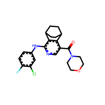 O=C(c1cnc(Nc2ccc(F)c(Cl)c2)c2c1C1CCC2CC1)N1CCOCC1